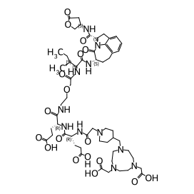 CC[C@H](C)[C@H](NC(=O)COCCNC(=O)[C@@H](CCC(=O)O)NC(=O)[C@@H](CCC(=O)O)NC(=O)CN1CCC(CN2CCN(CC(=O)O)CCN(CC(=O)O)CC2)CC1)C(=O)N[C@H]1CCc2cccc3c2N(C1=O)[C@H](C(=O)N[C@@H]1COC(=O)C1)C3